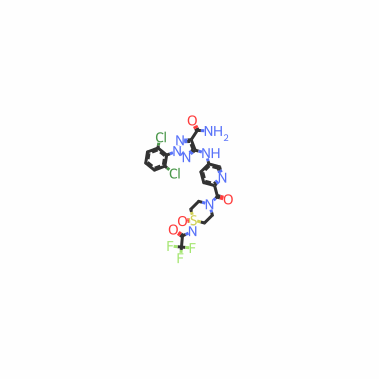 NC(=O)c1nn(-c2c(Cl)cccc2Cl)nc1Nc1ccc(C(=O)N2CCS(=O)(=NC(=O)C(F)(F)F)CC2)nc1